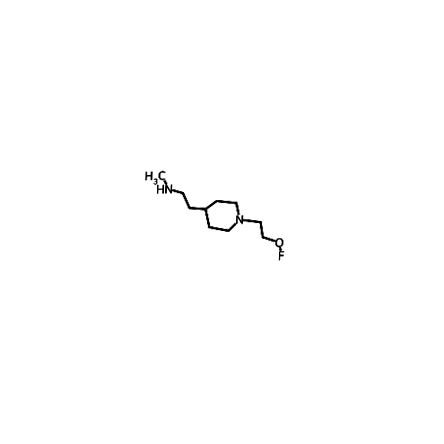 CNCCC1CCN(CCOF)CC1